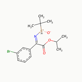 CC(C)OC(=O)C(=N[S@@+]([O-])C(C)(C)C)c1cccc(Br)c1